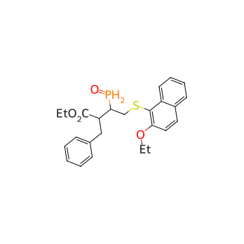 CCOC(=O)C(Cc1ccccc1)C(CSc1c(OCC)ccc2ccccc12)[PH2]=O